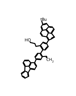 C=Cc1cc(-c2ccc3c4c(cccc24)-c2ccccc2-3)ccc1-c1ccc(-c2ccc3ccc4cc(C(C)(C)C)cc5ccc2c3c45)cc1CCCO